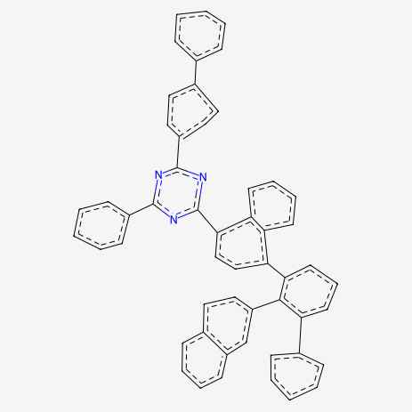 c1ccc(-c2ccc(-c3nc(-c4ccccc4)nc(-c4ccc(-c5cccc(-c6ccccc6)c5-c5ccc6ccccc6c5)c5ccccc45)n3)cc2)cc1